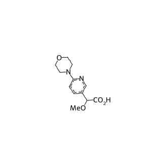 COC(C(=O)O)c1ccc(N2CCOCC2)nc1